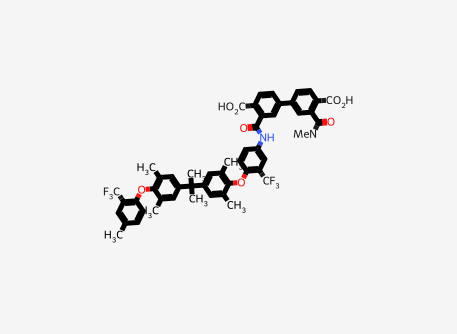 CNC(=O)c1cc(-c2ccc(C(=O)O)c(C(=O)Nc3ccc(Oc4c(C)cc(C(C)(C)c5cc(C)c(Oc6ccc(C)cc6C(F)(F)F)c(C)c5)cc4C)c(C(F)(F)F)c3)c2)ccc1C(=O)O